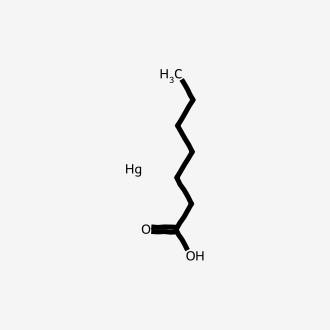 CCCCCCC(=O)O.[Hg]